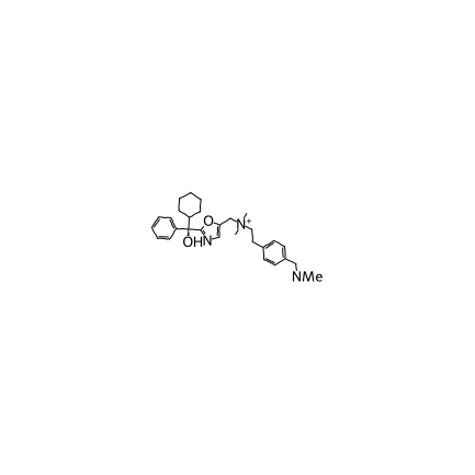 CNCc1ccc(CC[N+](C)(C)Cc2cnc([C@](O)(c3ccccc3)C3CCCCC3)o2)cc1